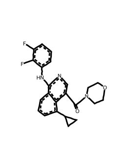 O=C(c1cnc(Nc2cccc(F)c2F)c2cccc(C3CC3)c12)N1CCOCC1